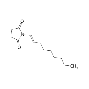 CCCCCCCC=CN1C(=O)CCC1=O